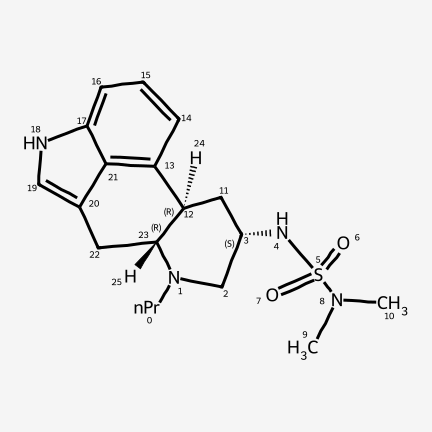 CCCN1C[C@@H](NS(=O)(=O)N(C)C)C[C@@H]2c3cccc4[nH]cc(c34)C[C@H]21